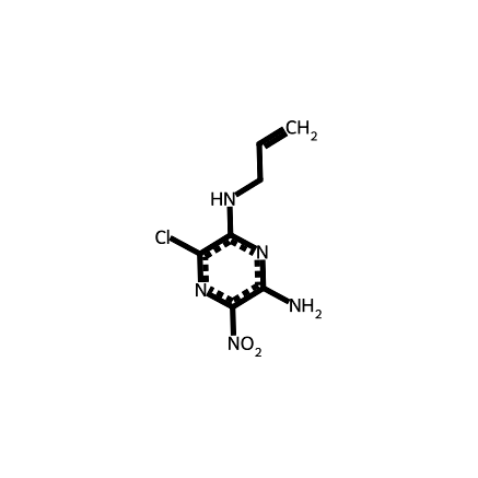 C=CCNc1nc(N)c([N+](=O)[O-])nc1Cl